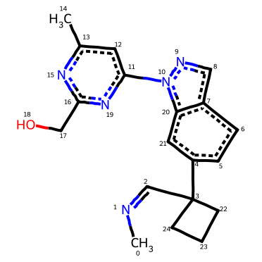 C/N=C\C1(c2ccc3cnn(-c4cc(C)nc(CO)n4)c3c2)CCC1